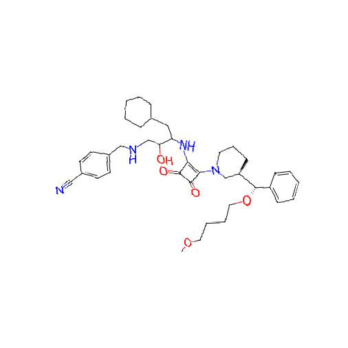 COCCCCO[C@@H](c1ccccc1)[C@@H]1CCCN(c2c(NC(CC3CCCCC3)C(O)CNCc3ccc(C#N)cc3)c(=O)c2=O)C1